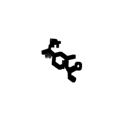 C=CC(=O)N1CCC([C@H](C)C(C)C)CC1C